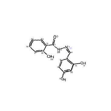 O=C(N/N=C\c1ccc(O)cc1O)c1ccccc1O